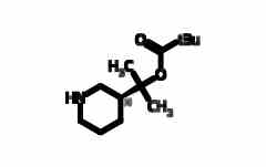 CC(C)(C)C(=O)OC(C)(C)[C@H]1CCCNC1